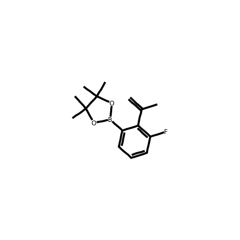 C=C(C)c1c(F)cccc1B1OC(C)(C)C(C)(C)O1